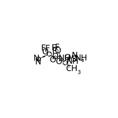 CCc1ccc(C(=O)N[C@@H](CCOC(F)(F)F)COC(=O)c2ccc(OC(F)F)c(C#Cc3cncnc3)c2)cc1NC(=O)c1cnc(NCC2CC2)s1